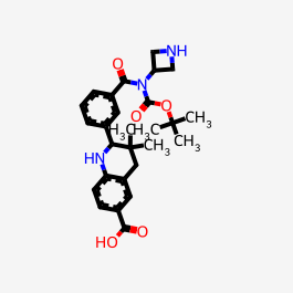 CC(C)(C)OC(=O)N(C(=O)c1cccc(C2Nc3ccc(C(=O)O)cc3CC2(C)C)c1)C1CNC1